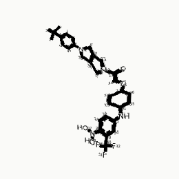 CC(C)(C)c1ccc(N2CC3CN(C(=O)COC4CCC(Nc5ccc(N(O)O)c(C(F)(F)F)c5)CC4)CC3C2)cc1